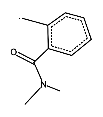 [CH2]c1ccccc1C(=O)N(C)C